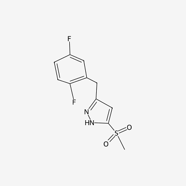 CS(=O)(=O)c1cc(Cc2cc(F)ccc2F)n[nH]1